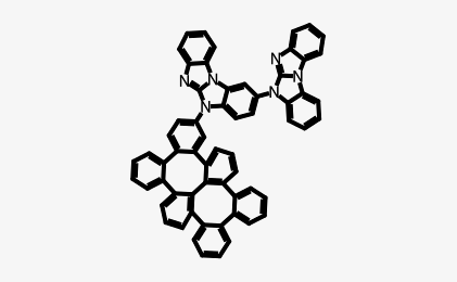 c1ccc2c(c1)nc1n(-c3ccc4c(c3)n3c5ccccc5nc3n4-c3ccc4c(c3)c3cccc5c3-c3c(cccc3c3ccccc34)c3ccccc3c3ccccc53)c3ccccc3n21